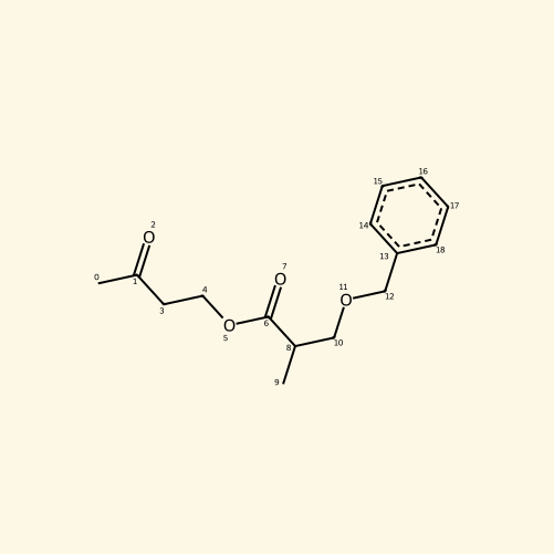 CC(=O)CCOC(=O)C(C)COCc1ccccc1